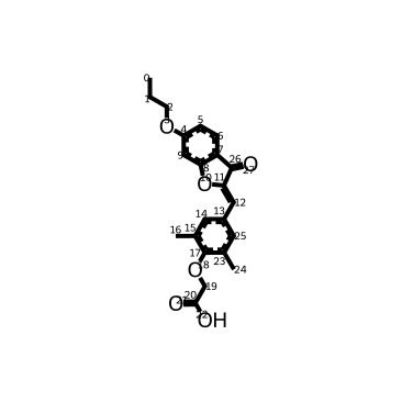 CCCOc1ccc2c(c1)OC(=Cc1cc(C)c(OCC(=O)O)c(C)c1)C2=O